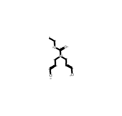 CCOC(=O)N(CC=CCl)CC=CCl